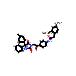 COc1ccc(CC(=O)Nc2ccc(C(=O)CN3C(=O)NC(c4ccccc4)(c4ccc(C)cc4)C3=O)cc2)c(OC)c1